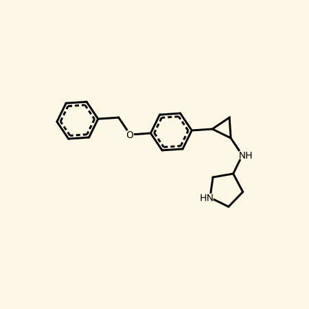 c1ccc(COc2ccc(C3CC3NC3CCNC3)cc2)cc1